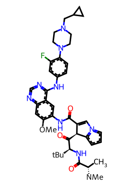 CN[C@@H](C)C(=O)N[C@H](C(=O)[C@H]1C(C(=O)Nc2cc3c(Nc4ccc(N5CCN(CC6CC6)CC5)c(F)c4)ncnc3cc2OC)=Cn2cccc21)C(C)(C)C